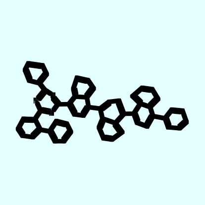 c1ccc(-c2nc(-c3ccccc3-c3ccccc3)nc(-c3ccc(-c4ccc(-c5ccc(-c6ccccc6)c6ccccc56)c5ccccc45)c4ccccc34)n2)cc1